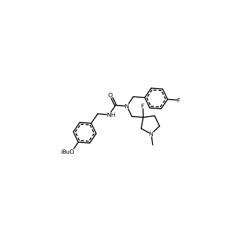 CC(C)COc1ccc(CNC(=O)N(Cc2ccc(F)cc2)CC2(F)CCN(C)C2)cc1